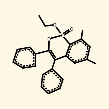 CCOP1(=O)OC(c2ccccc2)=C(c2ccccc2)c2cc(C)cc(C)c21